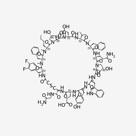 CCCC[C@H]1C(=O)N2C[C@H](O)C[C@@H]2C(=O)N[C@@H](CC(=O)O)C(=O)N[C@@H](C(C)C)C(=O)N(C)[C@@H](Cc2ccccc2)C(=O)N[C@@H](CCC(N)=O)C(=O)N2C[C@H](O)C[C@@H]2C(=O)N[C@@H](Cc2c[nH]c3ccccc23)C(=O)N[C@@H](Cc2ccc(O)cc2)C(=O)N[C@@H](CCC(=O)O)C(=O)N[C@H](C(=O)NCC(N)=O)CSCC(=O)N[C@@H](Cc2ccc(F)c(F)c2)C(=O)N(C)[C@@H](Cc2ccccc2)C(=O)N1C